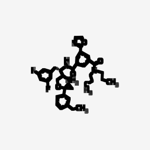 CCCN(CCC)C(=O)c1cc(C(=O)N[C@@H](Cc2cc(F)cc(F)c2)C(N)COC2(c3cccc(CC)c3)CC2)cc(-c2ncco2)c1